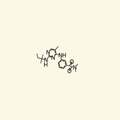 CCC(C)(C)Nc1ncc(C)c(Nc2cccc(S(=O)(=O)N(C)C)c2)n1